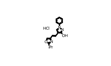 CC(C)c1nc(C=Cc2cn(-c3ccccc3)nc2O)co1.Cl